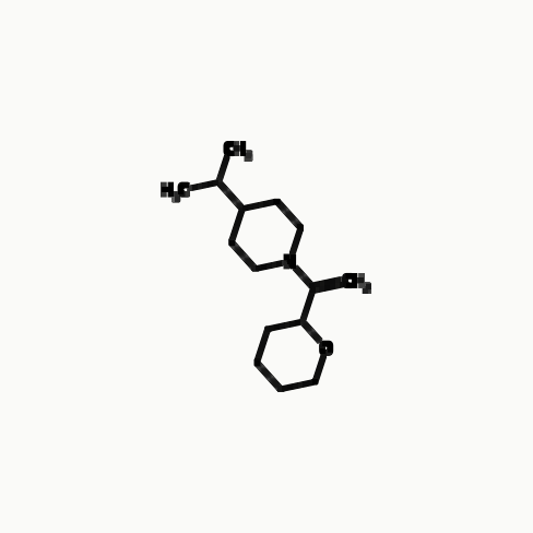 C=C(C1CCCCO1)N1CCC(C(C)C)CC1